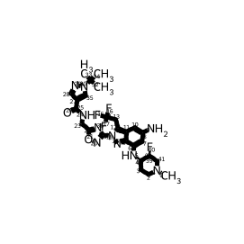 CN1CC[C@@H](Nc2cc(N)cc3c(CC(F)(F)F)n(-c4noc(CNC(=O)c5cnn(C(C)(C)C)c5)n4)nc23)[C@@H](F)C1